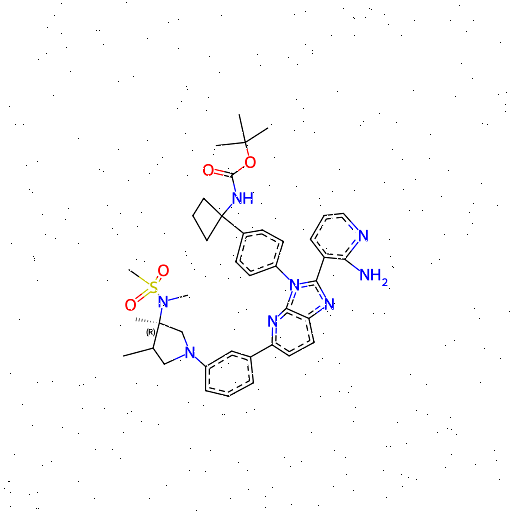 CC1CN(c2cccc(-c3ccc4nc(-c5cccnc5N)n(-c5ccc(C6(NC(=O)OC(C)(C)C)CCC6)cc5)c4n3)c2)C[C@]1(C)N(C)S(C)(=O)=O